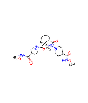 CC(C)(C)ONC(=O)C1CCN(NC(=O)C2CCCCC2(C)C(=O)NN2CCC(C(=O)NOC(C)(C)C)CC2)CC1